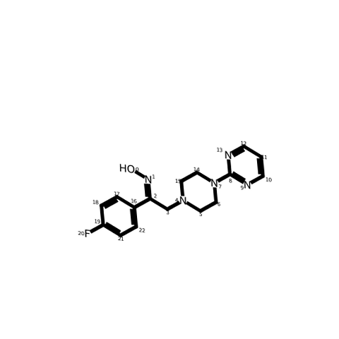 ON=C(CN1CCN(c2ncccn2)CC1)c1ccc(F)cc1